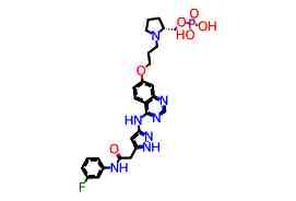 O=C(Cc1cc(Nc2ncnc3cc(OCCCN4CCC[C@@H]4COP(=O)(O)O)ccc23)n[nH]1)Nc1cccc(F)c1